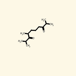 CC(C)C(=O)CCCC(C)C(=O)C(C)C